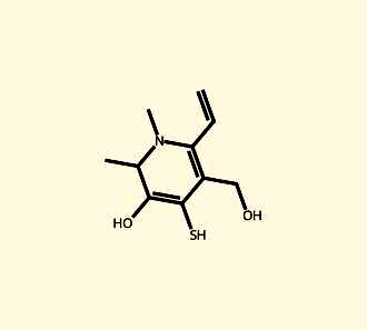 C=CC1=C(CO)C(S)=C(O)C(C)N1C